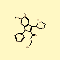 CCOC(=O)c1c(C2COCCN2)c2cc(Cl)c(Br)cc2n1-c1ccccc1